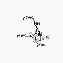 CCCCCCCCCCCCCCNCCCCN(CCCCCCCCCCCCCC)CC(O)CN(CC(=O)CCCCCCCCCCCCC)CC(=O)NCCCCCCCCCCCC